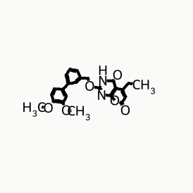 CCc1cc(=O)oc2nc(OCc3cccc(-c4ccc(OC)c(OC)c4)c3)[nH]c(=O)c12